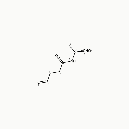 C=CCCC(=O)N[C@@H](C)[C]=O